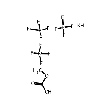 COC(C)=O.F[B-](F)(F)F.F[B-](F)(F)F.F[B-](F)(F)F.[KH]